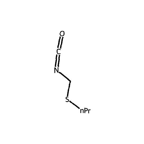 CCCSCN=C=O